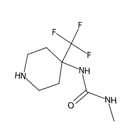 CNC(=O)NC1(C(F)(F)F)CCNCC1